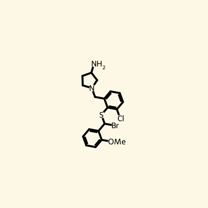 COc1ccccc1C(Br)Sc1c(Cl)cccc1CN1CCC(N)C1